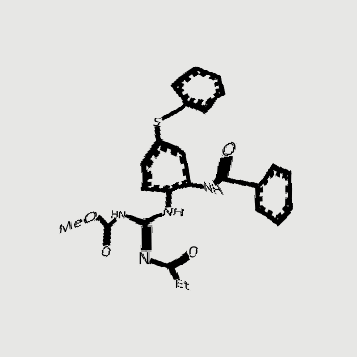 CCC(=O)/N=C(/NC(=O)OC)Nc1ccc(Sc2ccccc2)cc1NC(=O)c1ccccc1